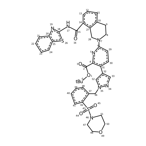 CC(C)(C)OC(=O)c1nc(N2CCc3cccc(C(=O)Nc4nc5ccccc5s4)c3C2)ccc1-c1cnn(Cc2ccccc2S(=O)(=O)N2CCOCC2)c1